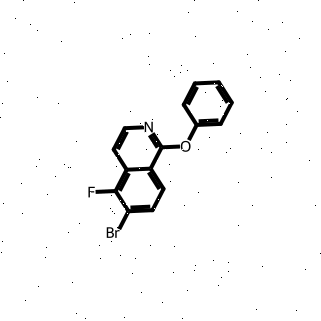 Fc1c(Br)ccc2c(Oc3ccccc3)nccc12